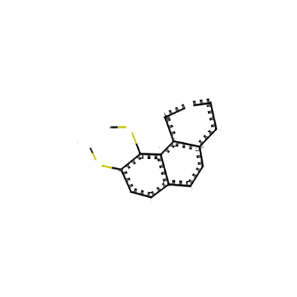 CC(C)(C)Sc1ccc2ccc3ccccc3c2c1SC(C)(C)C